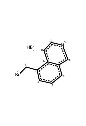 Br.BrCc1cccc2cnccc12